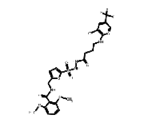 COc1cccc(OC)c1C(=O)NCc1ccc(S(=O)(=O)NNC(=O)CCCNc2ncc(C(F)(F)F)cc2Cl)s1